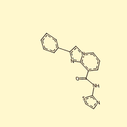 O=C(Nc1nccs1)c1cccn2cc(-c3ccccc3)nc12